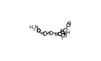 Nc1ccc(CN2CCC(N3CCC(COc4cc(F)c5c(=O)[nH]c(CSC6CCOCC6)nc5c4)CC3)CC2)cc1